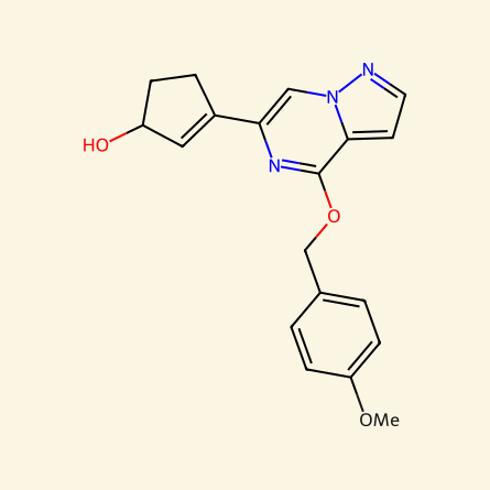 COc1ccc(COc2nc(C3=CC(O)CC3)cn3nccc23)cc1